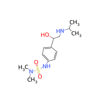 CC(C)NCC(O)c1ccc(NS(=O)(=O)N(C)C)cc1